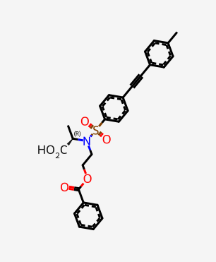 Cc1ccc(C#Cc2ccc(S(=O)(=O)N(CCOC(=O)c3ccccc3)[C@H](C)C(=O)O)cc2)cc1